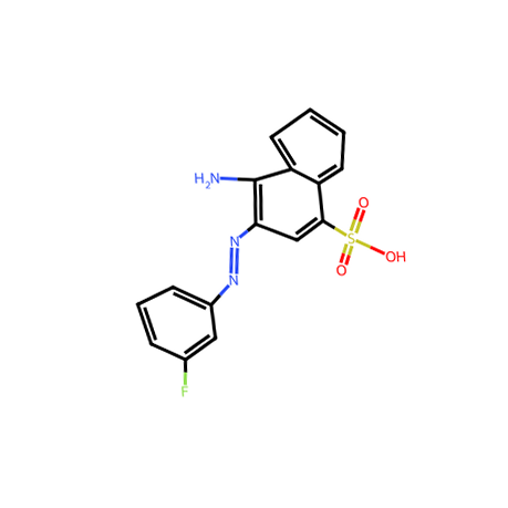 Nc1c(N=Nc2cccc(F)c2)cc(S(=O)(=O)O)c2ccccc12